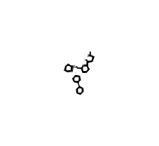 Cc1ccc2c(n1)oc1c(-c3nc4ccccc4n3-c3ccc(-c4ccccc4)cc3)cccc12